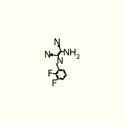 N#CC(N)=C(C#N)N=Cc1cccc(F)c1F